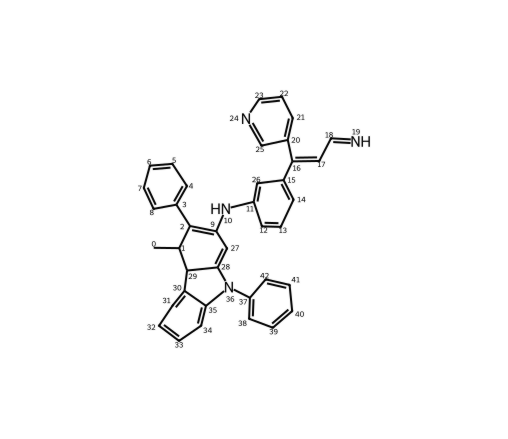 CC1C(c2ccccc2)=C(Nc2cccc(/C(=C/C=N)c3cccnc3)c2)C=C2C1c1ccccc1N2c1ccccc1